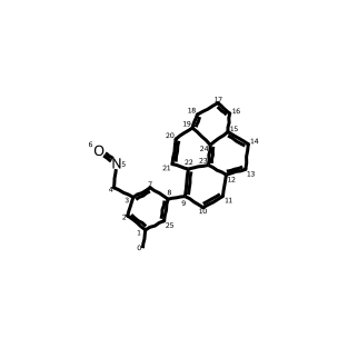 Cc1cc(CN=O)cc(-c2ccc3ccc4cccc5ccc2c3c45)c1